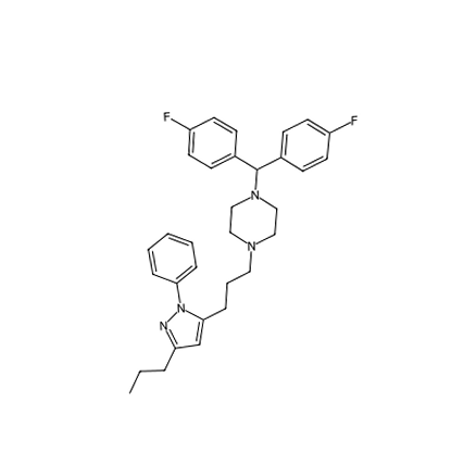 CCCc1cc(CCCN2CCN(C(c3ccc(F)cc3)c3ccc(F)cc3)CC2)n(-c2ccccc2)n1